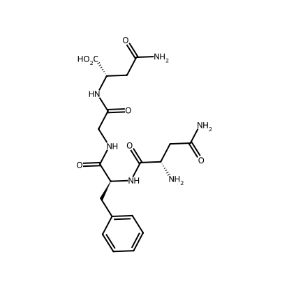 NC(=O)C[C@H](NC(=O)CNC(=O)[C@H](Cc1ccccc1)NC(=O)[C@@H](N)CC(N)=O)C(=O)O